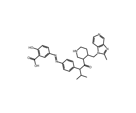 Cc1nc2cnccc2n1CC1CCNCC1C(=O)C(c1ccc(N=Nc2ccc(O)c(C(=O)O)c2)cc1)C(C)C